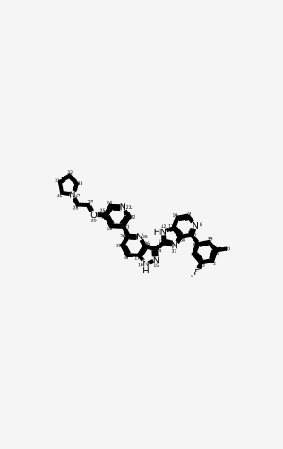 Cc1cc(F)cc(-c2nccc3[nH]c(-c4n[nH]c5ccc(-c6cncc(OCCN7CCCC7)c6)nc45)nc23)c1